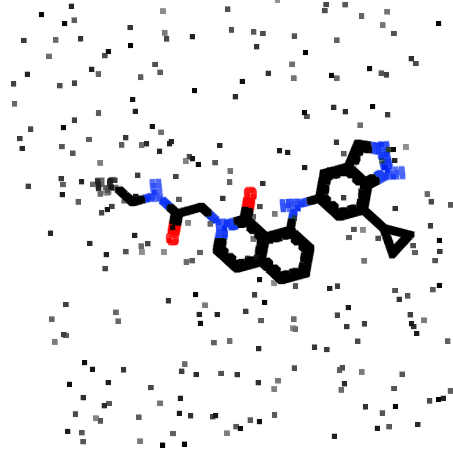 O=C(Cn1ccc2cccc(Nc3cc(C4CC4)c4[nH]ncc4c3)c2c1=O)NCC(F)(F)F